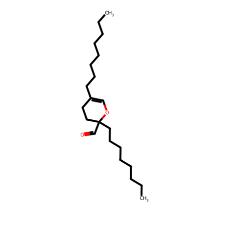 CCCCCCCCC1=COC(C=O)(CCCCCCCC)CC1